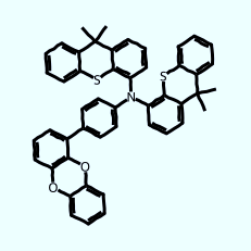 CC1(C)c2ccccc2Sc2c(N(c3ccc(-c4cccc5c4Oc4ccccc4O5)cc3)c3cccc4c3Sc3ccccc3C4(C)C)cccc21